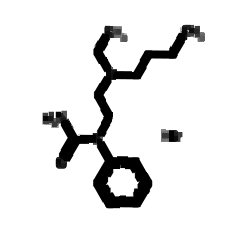 Br.CCCCN(CC)CCN(C(N)=O)c1ccccc1